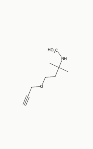 C#CCOCCC(C)(C)NC(=O)O